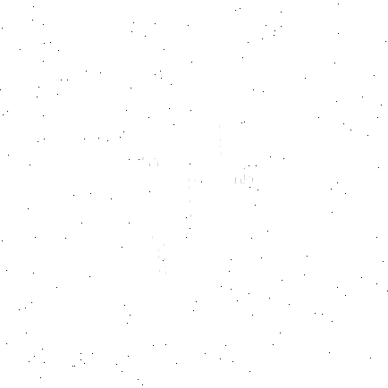 C=CCC(=O)CC=C.CCCC